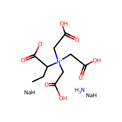 CCC(C(=O)[O-])[N+](CC(=O)O)(CC(=O)O)CC(=O)O.N.[NaH].[NaH]